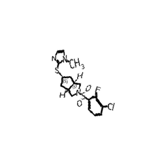 Cn1ccnc1S[C@H]1C[C@@H]2CN(S(=O)(=O)c3cccc(Cl)c3F)C[C@@H]2C1